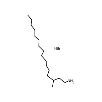 Br.CCCCCCCCCCCCCC(C)CCN